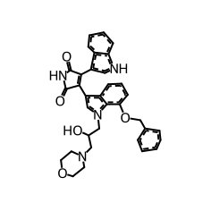 O=C1NC(=O)C(c2cn(CC(O)CN3CCOCC3)c3c(OCc4ccccc4)cccc23)=C1c1c[nH]c2ccccc12